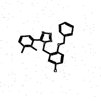 Cc1cccc(-c2nnnn2Cc2cc(Cl)ccc2OCc2ccccc2)c1C